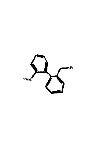 CCCCCc1ccccc1-c1ccccc1CC(C)C